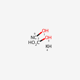 N#CO.O=C(O)O.[KH]